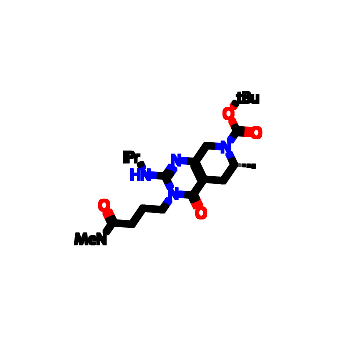 CNC(=O)CCCn1c(NC(C)C)nc2c(c1=O)C[C@@H](C)N(C(=O)OC(C)(C)C)C2